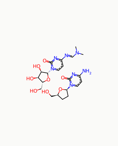 CN(C)C=Nc1ccn([C@@H]2O[C@H](CO)[C@@H](O)[C@H]2O)c(=O)n1.Nc1ccn([C@H]2CC[C@@H](CO)O2)c(=O)n1